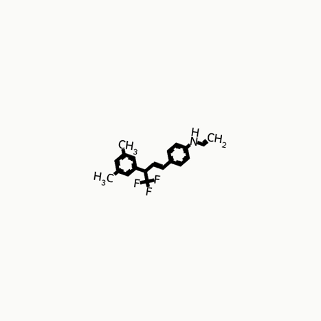 C=CNc1ccc(/C=C/C(c2cc(C)cc(C)c2)C(F)(F)F)cc1